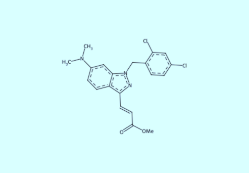 COC(=O)C=Cc1nn(Cc2ccc(Cl)cc2Cl)c2cc(N(C)C)ccc12